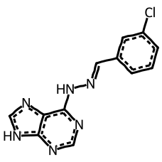 Clc1cccc(C=NNc2ncnc3[nH]cnc23)c1